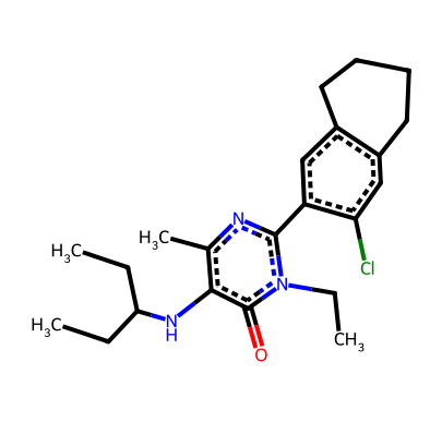 CCC(CC)Nc1c(C)nc(-c2cc3c(cc2Cl)CCCC3)n(CC)c1=O